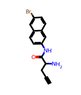 C#CCC(N)C(=O)Nc1ccc2cc(Br)ccc2c1